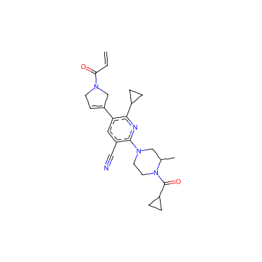 C=CC(=O)N1CC=C(c2cc(C#N)c(N3CCN(C(=O)C4CC4)C(C)C3)nc2C2CC2)C1